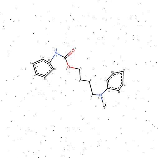 CCN(CCCCOC(=O)Nc1ccccc1)c1ccccc1